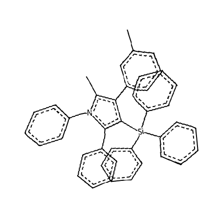 Cc1cccc(-c2c([Si](c3ccccc3)(c3ccccc3)c3ccccc3)c(-c3ccccc3)n(-c3ccccc3)c2C)c1